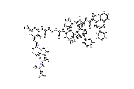 C=C1/C(=C\C=C2/CCC[C@@]3(C)C2CCC3[C@@H](C)/C=C/C(O)C2CC2)C[C@@H](O)C[C@@H]1OC(=O)CCCC(=O)OC1CC2OCC2(OC(C)=O)C2C(OC(=O)c3ccccc3)C3(O)CC(OC(=O)C(O)C(NC(=O)c4ccccc4)c4ccccc4)C(C)=C(C(OC(C)=O)C(=O)C12C)C3(C)C